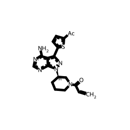 C=CC(=O)N1CCC[C@@H](n2nc(-c3ccc(C(C)=O)s3)c3c(N)ncnc32)C1